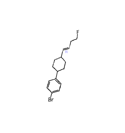 FCC/C=C/C1CCC(c2ccc(Br)cc2)CC1